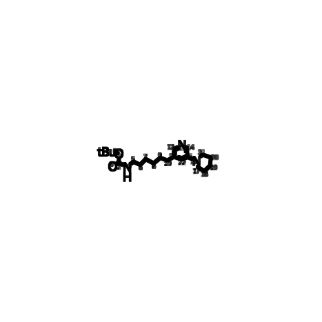 CC(C)(C)OC(=O)NCCCCCCc1cncc(N2CCCCC2)c1